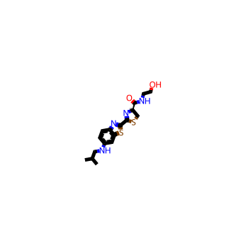 CC(C)CNc1ccc2nc(C3=N[C@@H](C(=O)NCCO)CS3)sc2c1